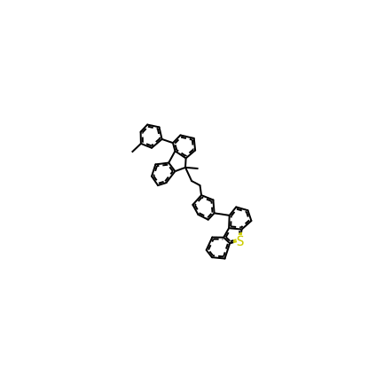 Cc1cccc(-c2cccc3c2-c2ccccc2C3(C)CCc2cccc(-c3cccc4sc5ccccc5c34)c2)c1